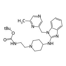 Cc1cncc(Cn2c(NC3CCN(CCNC(=O)OC(C)(C)C)CC3)nc3ccccc32)n1